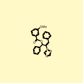 COc1cccc(C(=O)OC(/C(=C\c2ccccc2)n2cncn2)c2ccccc2)c1